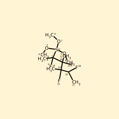 CO[Si](OC)(OC)C(C)(F)C(C)(F)C(C)(F)C(C)F